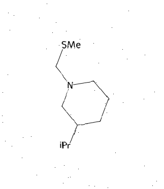 CSCN1CCCC(C(C)C)C1